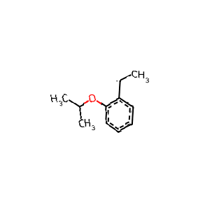 C[CH]c1ccccc1OC(C)C